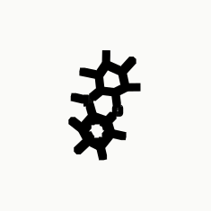 Cc1c(C)c(C)c2c(c1C)OC1C(C)C(C)C(C)C(C)C1N2C